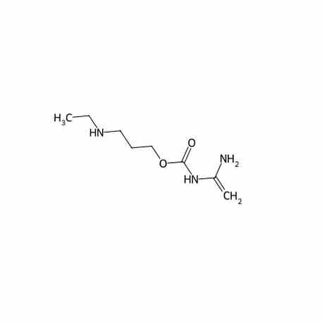 C=C(N)NC(=O)OCCCNCC